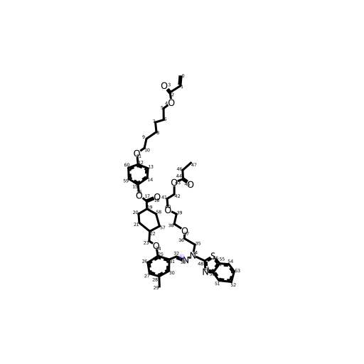 C=CC(=O)OCCCCCCOc1ccc(OC(=O)C2CCC(COc3ccc(C)cc3/C=N/N(CCOCCOCCOC(=O)CC)c3nc4ccccc4s3)CC2)cc1